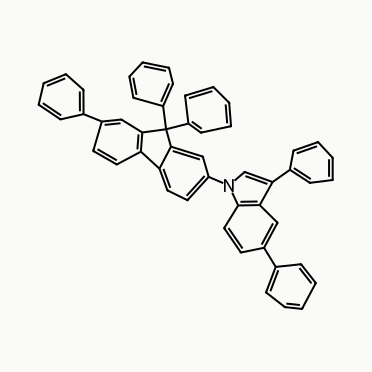 c1ccc(-c2ccc3c(c2)C(c2ccccc2)(c2ccccc2)c2cc(-n4cc(-c5ccccc5)c5cc(-c6ccccc6)ccc54)ccc2-3)cc1